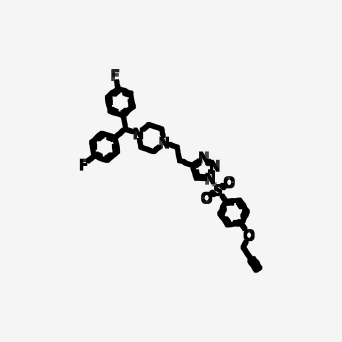 C#CCOc1ccc(S(=O)(=O)n2cc(CCN3CCN(C(c4ccc(F)cc4)c4ccc(F)cc4)CC3)nn2)cc1